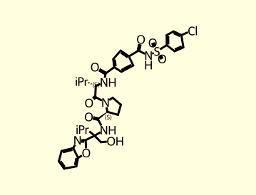 CC(C)[C@H](NC(=O)c1ccc(C(=O)NS(=O)(=O)c2ccc(Cl)cc2)cc1)C(=O)N1CCC[C@H]1C(=O)NC(CO)(c1nc2ccccc2o1)C(C)C